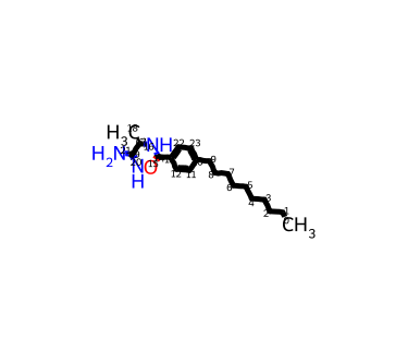 CCCCCCCCCCc1ccc(C(=O)N[C@@H](C)C(=N)N)cc1